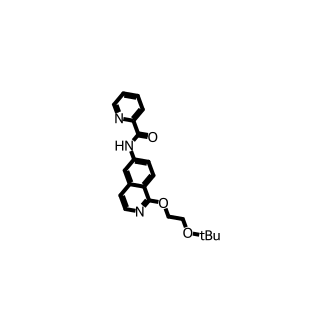 CC(C)(C)OCCOc1nccc2cc(NC(=O)c3ccccn3)ccc12